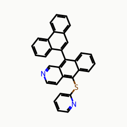 c1ccc(Sc2c3ccccc3c(-c3cc4ccccc4c4ccccc34)c3cnccc23)nc1